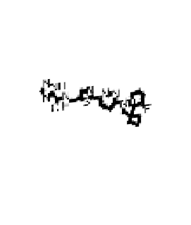 O=C(NCc1cnc(-c2ccc(NCC3(c4ncccc4F)CCC3)nn2)s1)c1ncn[nH]1